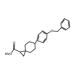 COC(=O)C1CC12CCC(c1ccc(OCc3ccccc3)cc1)CC2